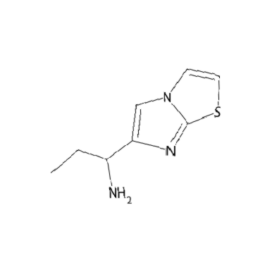 CCC(N)c1cn2ccsc2n1